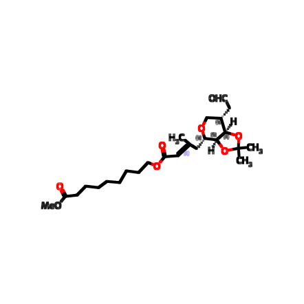 COC(=O)CCCCCCCCOC(=O)/C=C(\C)C[C@@H]1OC[C@H](CC=O)[C@H]2OC(C)(C)O[C@H]21